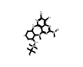 CN1c2nc([S+](C)[O-])nc3c(F)c(Cl)nc(c23)OC2CCCC(O[Si](C)(C)C(C)(C)C)C21